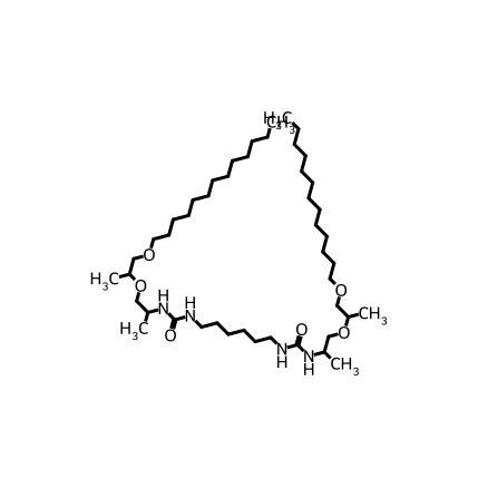 CCCCCCCCCCCCCOCC(C)OCC(C)NC(=O)NCCCCCCNC(=O)NC(C)COC(C)COCCCCCCCCCCCCC